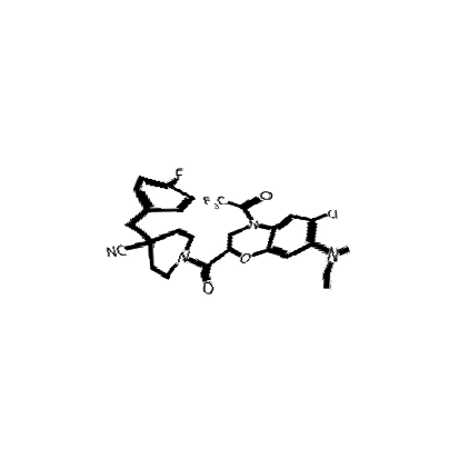 CN(C)c1cc2c(cc1Cl)N(C(=O)C(F)(F)F)CC(C(=O)N1CCC(C#N)(Cc3ccc(F)cc3)CC1)O2